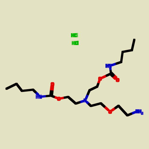 CCCCNC(=O)OCCN(CCOCCN)CCOC(=O)NCCCC.Cl.Cl